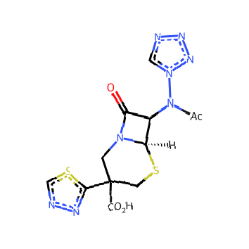 CC(=O)N(C1C(=O)N2CC(C(=O)O)(c3nncs3)CS[C@H]12)n1cnnn1